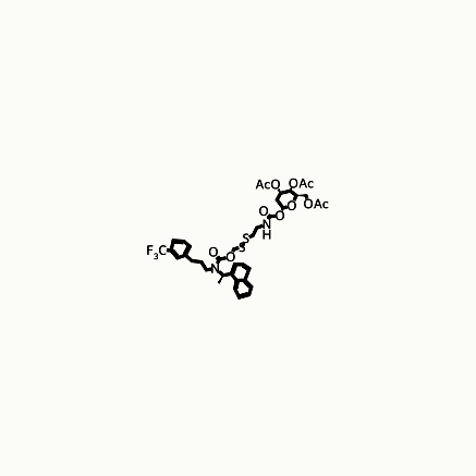 CC(=O)OC[C@H]1O[C@@H](OC(=O)NCCSSCOC(=O)N(CCCc2cccc(C(F)(F)F)c2)[C@H](C)c2cccc3ccccc23)C[C@@H](OC(C)=O)[C@@H]1OC(C)=O